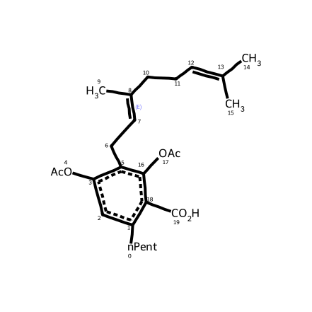 CCCCCc1cc(OC(C)=O)c(C/C=C(\C)CCC=C(C)C)c(OC(C)=O)c1C(=O)O